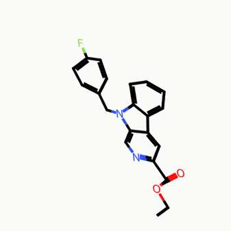 CCOC(=O)c1cc2c3ccccc3n(Cc3ccc(F)cc3)c2cn1